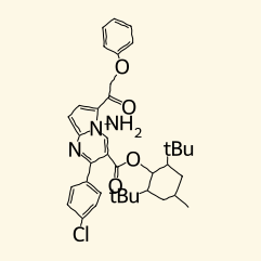 CC1CC(C(C)(C)C)C(OC(=O)C2=C[N+]3(N)C(=CC=C3C(=O)COc3ccccc3)N=C2c2ccc(Cl)cc2)C(C(C)(C)C)C1